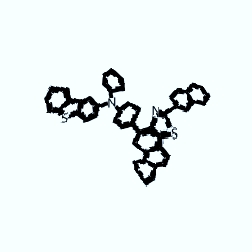 c1ccc(N(c2ccc(-c3cc4c5ccccc5ccc4c4sc(-c5ccc6ccccc6c5)nc34)cc2)c2ccc3sc4ccccc4c3c2)cc1